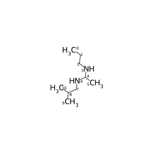 CCCNC(C)NCC(C)C